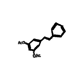 CC(=O)Oc1cc(/C=C/c2cc[c]cc2)cc(OC(C)=O)c1